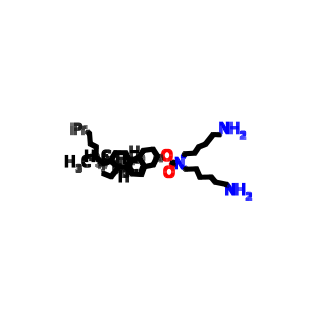 CC(C)CCC[C@@H](C)[C@H]1CC[C@H]2[C@@H]3CC=C4C[C@@H](OC(=O)N(CCCCCCN)CCCCCCN)CC[C@]4(C)[C@H]3CC[C@]12C